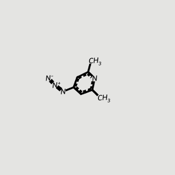 Cc1cc(N=[N+]=[N-])cc(C)n1